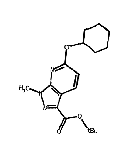 Cn1nc(C(=O)OC(C)(C)C)c2ccc(OC3CCCCC3)nc21